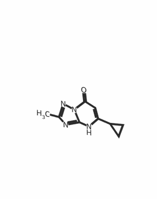 Cc1nc2[nH]c(C3CC3)cc(=O)n2n1